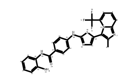 Cc1nc2cccc(C(F)(F)F)n2c1-c1cnc(Nc2ccc(C(=O)Nc3ccccc3N)cc2)s1